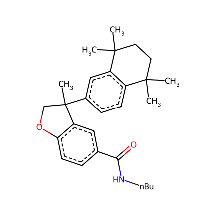 CCCCNC(=O)c1ccc2c(c1)C(C)(c1ccc3c(c1)C(C)(C)CCC3(C)C)CO2